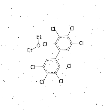 CCOCC.Clc1cc(-c2cc(Cl)c(Cl)c(Cl)c2Cl)c(Cl)c(Cl)c1Cl